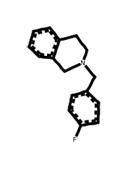 Fc1ccc(CN2CCc3cc[c]cc3C2)cc1